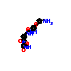 NC[C@H]1CC[C@H](COc2ccc(NC(=O)NCc3ccc4c(c3)CN(C3CCC(=O)NC3=O)C4=O)cc2)C1